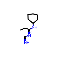 CC/C(=N\C=N)NC1CCCCC1